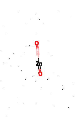 O=[B][Zn]=[O]